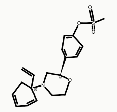 C=C[C@]1(N2CCO[C@H](c3ccc(OS(C)(=O)=O)cc3)C2)C=CC=CC1